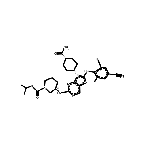 CC(C)OC(=O)N1CCC[C@@H](Nc2ncc3nc(Nc4c(F)cc(C#N)cc4Cl)n([C@H]4CC[C@@H](C(N)=O)CC4)c3n2)C1